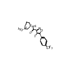 O=C(N[C@H]1CCC[C@@H](O)C1)c1noc(-c2ccc(C(F)(F)F)cc2)c1F